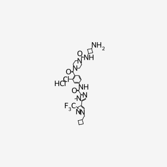 Cl.Cn1c(-c2cn(CC3CCC3)nc2C(F)(F)F)cnc1C(=O)Nc1ccc(C(=O)N2CCN(C(=O)NC3CC(N)C3)CC2)c(Cl)c1